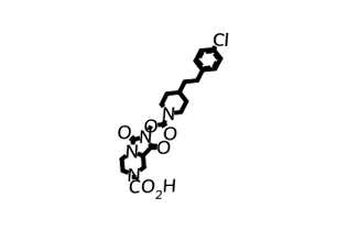 O=C(O)N1CCN2C(=O)N(OC(=O)N3CCC(CCc4ccc(Cl)cc4)CC3)C(=O)C2C1